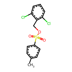 Cc1ccc(S(=O)(=O)OCc2c(Cl)cccc2Cl)cc1